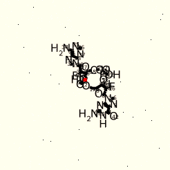 Nc1nc2c(ncn2C2OC3COP(=O)(O)[C@@H]4C(COP(=O)(O)O[C@H]3[C@H]2F)OC(n2cnc3c(N)ncnc32)[C@@H]4F)c(=O)[nH]1